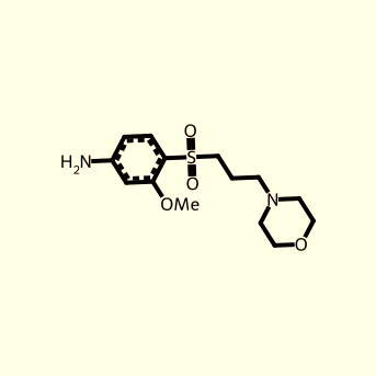 COc1cc(N)ccc1S(=O)(=O)CCCN1CCOCC1